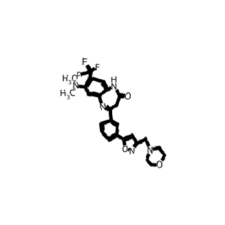 CN(C)c1cc2c(cc1C(F)(F)F)NC(=O)CC(c1cccc(-c3cc(CN4CCOCC4)no3)c1)=N2